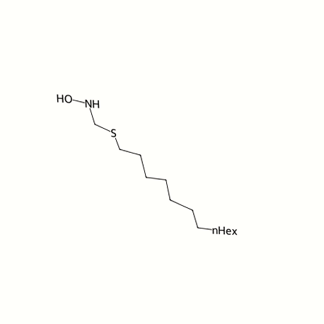 CCCCCCCCCCCCCSCNO